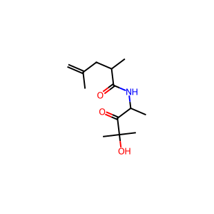 C=C(C)CC(C)C(=O)NC(C)C(=O)C(C)(C)O